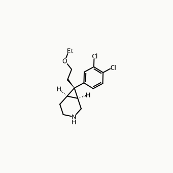 CCOCC[C@]1(c2ccc(Cl)c(Cl)c2)[C@@H]2CCNC[C@@H]21